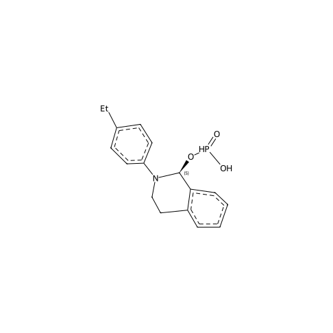 CCc1ccc(N2CCc3ccccc3[C@@H]2O[PH](=O)O)cc1